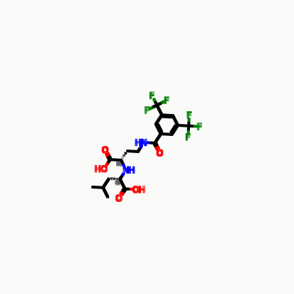 CC(C)C[C@H](N[C@@H](CCNC(=O)c1cc(C(F)(F)F)cc(C(F)(F)F)c1)C(=O)O)C(=O)O